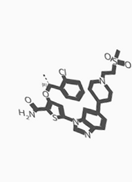 C[C@@H](Oc1cc(-n2cnc3ccc(C4CCN(CCS(C)(=O)=O)CC4)cc32)sc1C(N)=O)c1ccccc1Cl